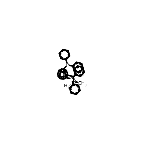 C[C@@H](N(C)C)[C]12[CH]3[CH]4[CH]5[CH]1[Fe]45321678[CH]2[CH]1[C]6(P(c1ccccc1)c1ccccc1)[C]7(P(c1ccccc1)c1ccccc1)[CH]28